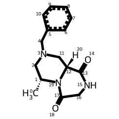 C[C@@H]1CN(Cc2ccccc2)C[C@@H]2C(=O)NCC(=O)N12